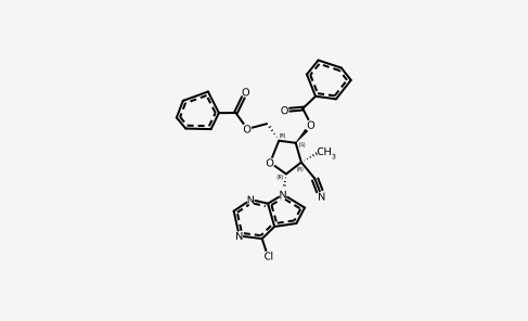 C[C@@]1(C#N)[C@H](OC(=O)c2ccccc2)[C@@H](COC(=O)c2ccccc2)O[C@H]1n1ccc2c(Cl)ncnc21